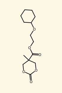 CC1(C(=O)OCCOC2CCCCC2)COC(=O)OC1